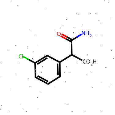 NC(=O)C(C(=O)O)c1cccc(Cl)c1